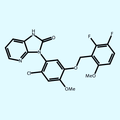 COc1cc(Cl)c(-n2c(=O)[nH]c3cccnc32)cc1OCc1c(OC)ccc(F)c1F